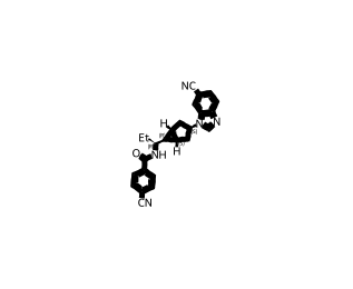 CC[C@@H](NC(=O)c1ccc(C#N)cc1)[C@H]1[C@@H]2C[C@@H](n3cnc4ccc(C#N)cc43)C[C@@H]21